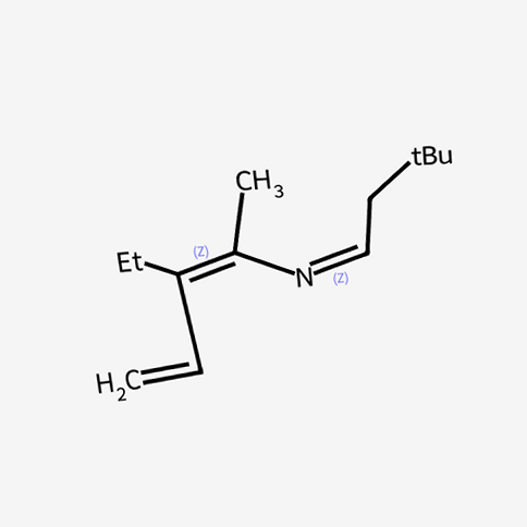 C=C/C(CC)=C(C)\N=C/CC(C)(C)C